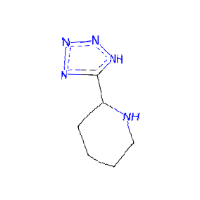 C1CCC(c2nnn[nH]2)NC1